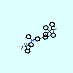 CC1(C)c2ccccc2-c2ccc(N(c3ccccc3)c3ccc(-c4ccc(-c5cccc6c5C(c5ccccc5)(c5ccccc5)c5c-6sc6ccccc56)cc4)cc3)cc21